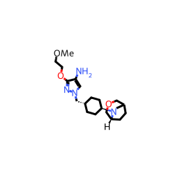 COCCOc1nn(C[C@H]2CC[C@H](N3CC4CC[C@@H]3COC4)CC2)cc1N